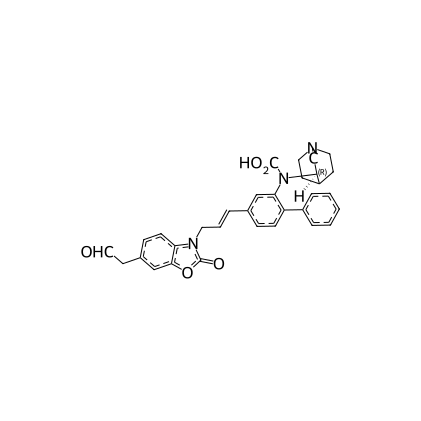 O=CCc1ccc2c(c1)oc(=O)n2CC=Cc1ccc(-c2ccccc2)c(N(C(=O)O)[C@H]2CN3CCC2CC3)c1